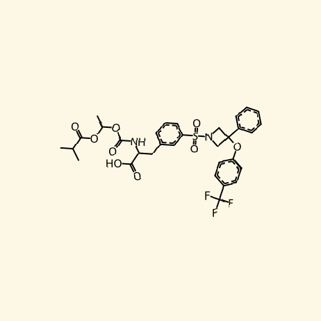 CC(OC(=O)NC(Cc1cccc(S(=O)(=O)N2CC(Oc3ccc(C(F)(F)F)cc3)(c3ccccc3)C2)c1)C(=O)O)OC(=O)C(C)C